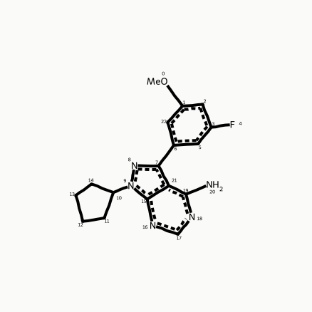 COc1cc(F)cc(-c2nn(C3CCCC3)c3ncnc(N)c23)c1